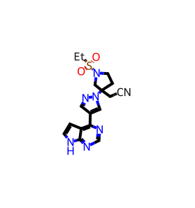 CCS(=O)(=O)N1CCC(CC#N)(n2cc(-c3ncnc4[nH]ccc34)cn2)C1